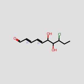 CCC(Cl)C(O)C(O)/C=C/C=C/C=O